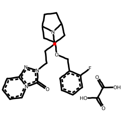 O=C(O)C(=O)O.O=c1n(CCCN2C3CCC2CC(OCc2ccccc2F)C3)nc2ccccn12